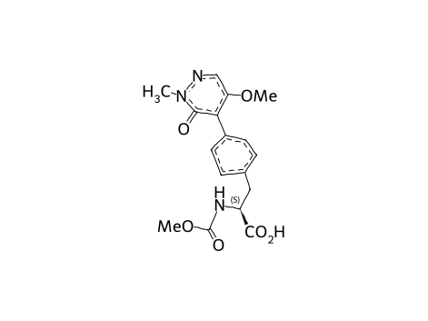 COC(=O)N[C@@H](Cc1ccc(-c2c(OC)cnn(C)c2=O)cc1)C(=O)O